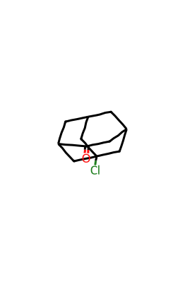 O=C1CC2CC3CC1CC(Cl)(C2)C3